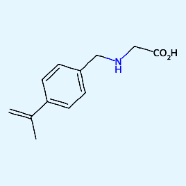 C=C(C)c1ccc(CNCC(=O)O)cc1